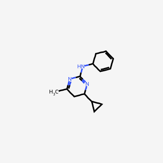 CC1=NC(NC2C=CC=CC2)=NC(C2CC2)C1